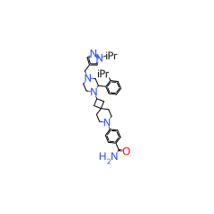 CC(C)c1ccccc1C1CN(Cc2cnn(C(C)C)c2)CCN1C1CC2(CCN(c3ccc(C(N)=O)cc3)CC2)C1